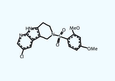 COc1ccc(S(=O)(=O)N2CCc3[nH]c4ncc(Cl)cc4c3C2)c(OC)c1